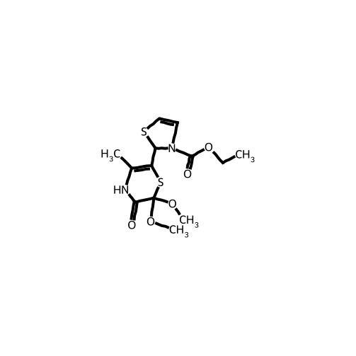 CCOC(=O)N1C=CSC1C1=C(C)NC(=O)C(OC)(OC)S1